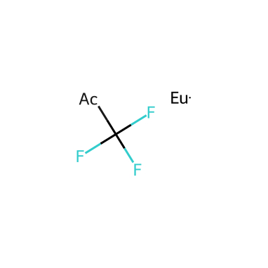 CC(=O)C(F)(F)F.[Eu]